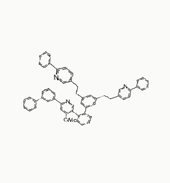 COc1cc(-c2cccc(-c3ccccc3)c2)ncc1-c1ccccc1-c1cc(CCc2ccc(-c3ccccc3)nc2)cc(CCc2ccc(-c3ccccc3)nc2)c1